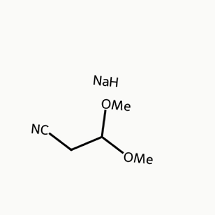 COC(CC#N)OC.[NaH]